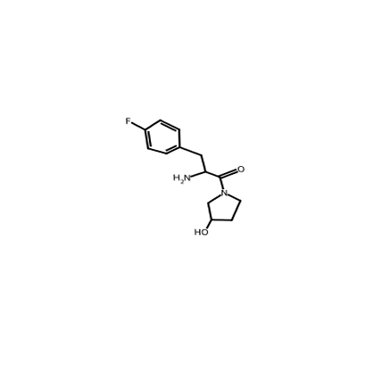 NC(Cc1ccc(F)cc1)C(=O)N1CCC(O)C1